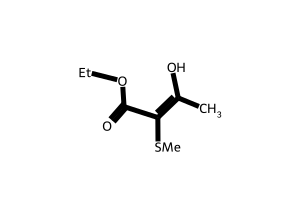 CCOC(=O)/C(SC)=C(/C)O